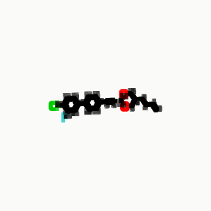 C=CCC[C@H]1CO[C@H](C#Cc2ccc(-c3ccc(Cl)c(F)c3)cc2)OC1